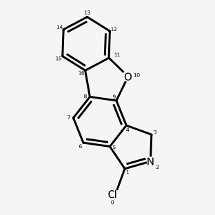 ClC1=NCc2c1ccc1c2oc2ccccc21